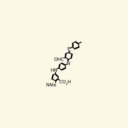 CNc1ccc(Nc2ccc(/N=C3C=C/C(=P\c4ccc(C)cc4)C=C/3C=O)cc2)cc1C(=O)O